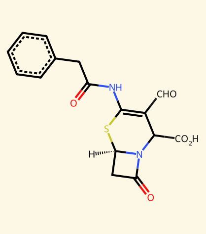 O=CC1=C(NC(=O)Cc2ccccc2)S[C@@H]2CC(=O)N2C1C(=O)O